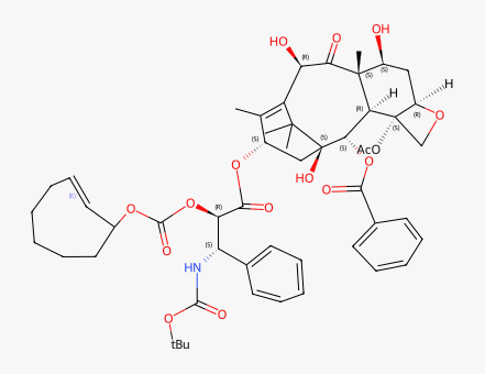 CC(=O)O[C@@]12CO[C@@H]1C[C@H](O)[C@@]1(C)C(=O)[C@H](O)C3=C(C)[C@@H](OC(=O)[C@H](OC(=O)OC4/C=C/CCCCC4)[C@@H](NC(=O)OC(C)(C)C)c4ccccc4)C[C@@](O)([C@@H](OC(=O)c4ccccc4)[C@H]21)C3(C)C